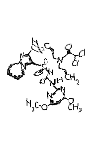 C=CCN(CC=C)C(=O)C(Cl)Cl.COc1cc(OC)nc(NC(=O)NS(=O)(=O)c2c(Cl)nc3ccccn23)n1